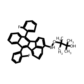 CC(C)(O)C(C)(C)OBc1ccc2c3c(cccc13)-c1c-2c(-c2ccccc2F)c2ccccc2c1-c1ccccc1F